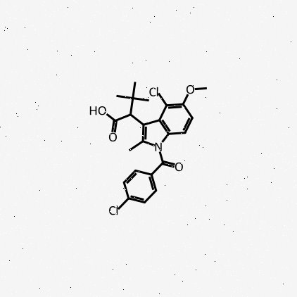 COc1ccc2c(c1Cl)c(C(C(=O)O)C(C)(C)C)c(C)n2C(=O)c1ccc(Cl)cc1